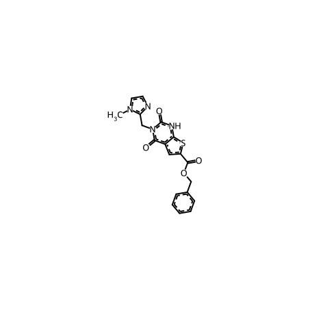 Cn1ccnc1Cn1c(=O)[nH]c2sc(C(=O)OCc3ccccc3)cc2c1=O